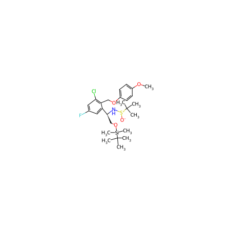 COc1ccc(OCc2c(Cl)cc(F)cc2[C@H](CO[Si](C)(C)C(C)(C)C)N[S+]([O-])C(C)(C)C)cc1